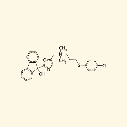 C[N+](C)(CCCSc1ccc(Cl)cc1)Cc1cnc(C2(O)c3ccccc3-c3ccccc32)o1